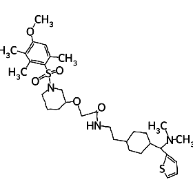 COc1cc(C)c(S(=O)(=O)N2CCCC(OCC(=O)NCCC3CCC(C(c4cccs4)N(C)C)CC3)C2)c(C)c1C